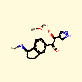 CC(C)(C)OC=O.CON=C1CCc2cc(C(=C=O)C(=O)c3cn[nH]c3)ccc21